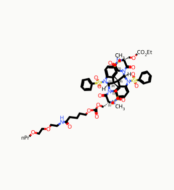 CCCOCCOCCNC(=O)CCCCOC(=O)OC[C@]12SS[C@@]3(C[C@]4([C@]56C[C@@]78SS[C@@](COC(=O)OCC)(C(=O)N7[C@H]5N(S(=O)(=O)c5ccccc5)c5ccccc56)N(C)C8=O)c5ccccc5N(S(=O)(=O)c5ccccc5)[C@@H]4N3C1=O)C(=O)N2C